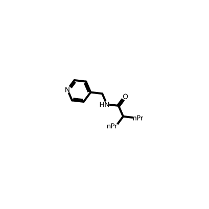 CCCC(CCC)C(=O)NCc1ccncc1